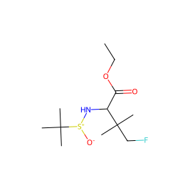 CCOC(=O)C(N[S+]([O-])C(C)(C)C)C(C)(C)CF